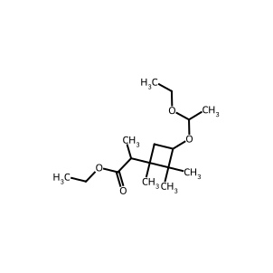 CCOC(=O)C(C)C1(C)CC(OC(C)OCC)C1(C)C